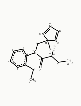 CCc1ccccc1N(CC1(Cl)N=CN=N1)C(=O)C(Cl)CC